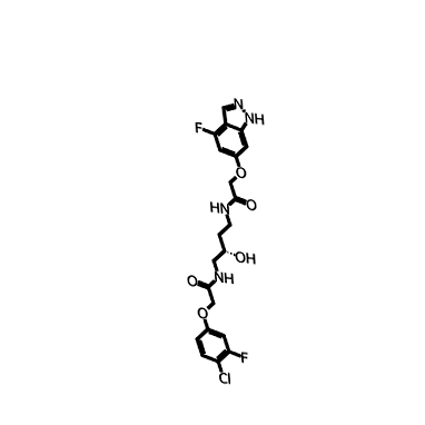 O=C(COc1cc(F)c2cn[nH]c2c1)NCC[C@H](O)CNC(=O)COc1ccc(Cl)c(F)c1